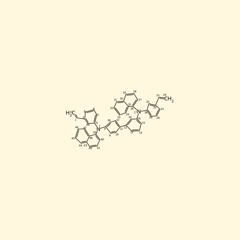 C=Cc1cccc(N(c2ccc(-c3cccc(N(c4cccc(C=C)c4)c4cccc5ccccc45)c3)cc2)c2cccc3ccccc23)c1